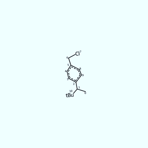 CC(c1ccc(CCl)cc1)C(C)(C)C